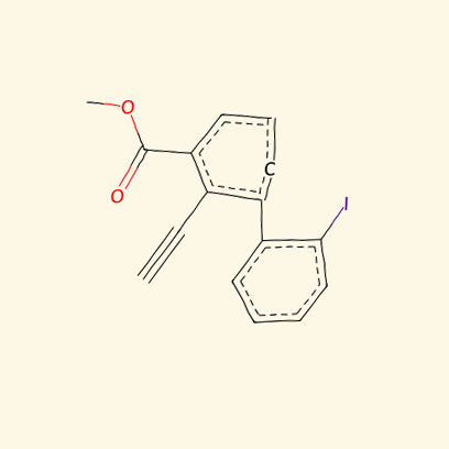 C#Cc1c(C(=O)OC)cccc1-c1ccccc1I